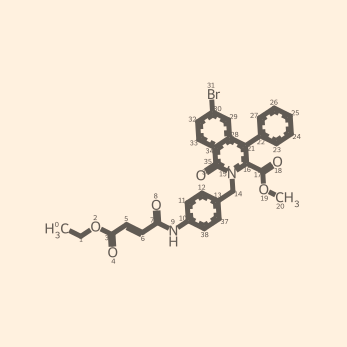 CCOC(=O)C=CC(=O)Nc1ccc(Cn2c(C(=O)OC)c(-c3ccccc3)c3cc(Br)ccc3c2=O)cc1